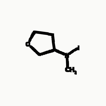 CN(I)C1CCOC1